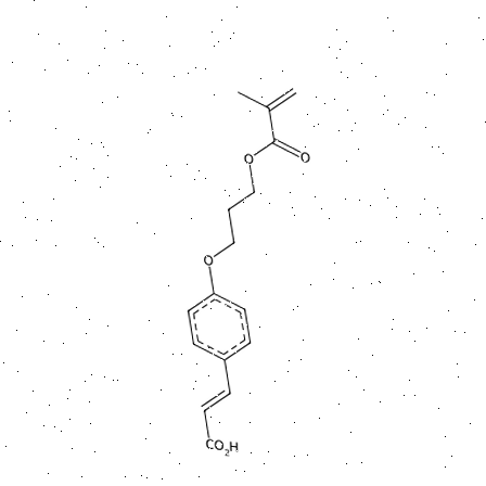 C=C(C)C(=O)OCCCOc1ccc(C=CC(=O)O)cc1